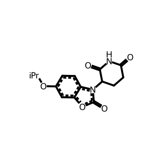 CC(C)Oc1ccc2c(c1)oc(=O)n2C1CCC(=O)NC1=O